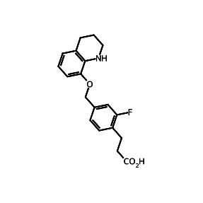 O=C(O)CCc1ccc(COc2cccc3c2NCCC3)cc1F